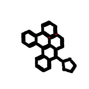 c1ccc(-c2ccccc2-c2c3ccccc3c(B3OCCO3)c3ccccc23)cc1